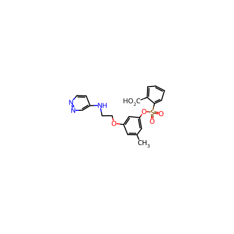 Cc1cc(OCCNc2ccnnc2)cc(OS(=O)(=O)c2ccccc2C(=O)O)c1